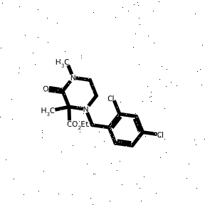 CCOC(=O)C1(C)C(=O)N(C)CCN1Cc1ccc(Cl)cc1Cl